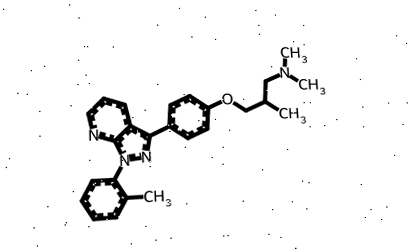 Cc1ccccc1-n1nc(-c2ccc(OCC(C)CN(C)C)cc2)c2cccnc21